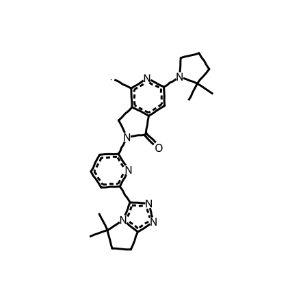 [CH2]c1nc(N2CCCC2(C)C)cc2c1CN(c1cccc(-c3nnc4n3C(C)(C)CC4)n1)C2=O